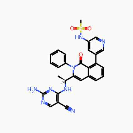 C[C@H](Nc1nc(N)ncc1C#N)c1cc2cccc(-c3cncc(NS(C)(=O)=O)c3)c2c(=O)n1-c1ccccc1